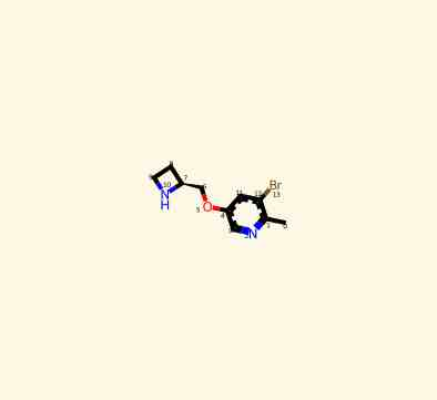 Cc1ncc(OC[C@@H]2CCN2)cc1Br